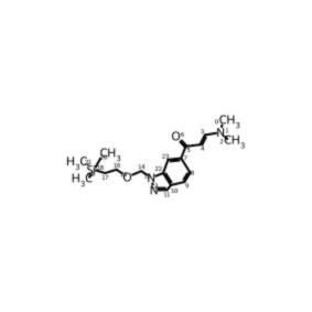 CN(C)/C=C/C(=O)c1ccc2cnn(COCC[Si](C)(C)C)c2c1